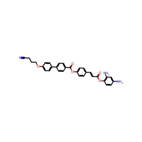 N#CCCCOc1ccc(-c2ccc(C(=O)Oc3ccc(/C=C/C(=O)Oc4ccc(N)cc4N)cc3)cc2)cc1